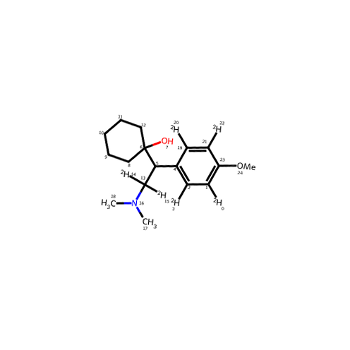 [2H]c1c([2H])c(C(C2(O)CCCCC2)C([2H])([2H])N(C)C)c([2H])c([2H])c1OC